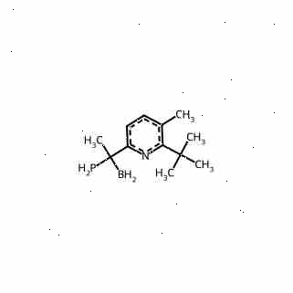 BC(C)(P)c1ccc(C)c(C(C)(C)C)n1